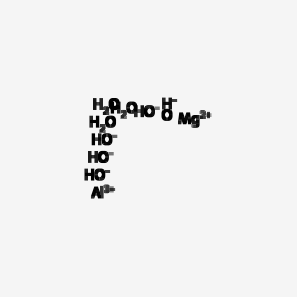 O.O.O.[Al+3].[Mg+2].[OH-].[OH-].[OH-].[OH-].[OH-]